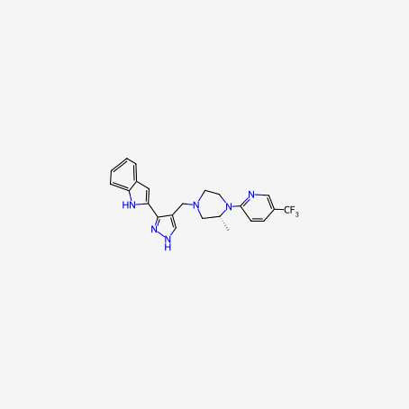 C[C@@H]1CN(Cc2c[nH]nc2-c2cc3ccccc3[nH]2)CCN1c1ccc(C(F)(F)F)cn1